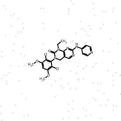 CCN1C(=O)N(c2c(Cl)c(OC)cc(OC)c2Cl)Cc2cnc(Nc3ccncc3)nc21